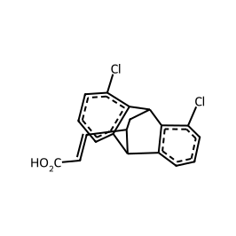 O=C(O)/C=C/C1CC2c3c(Cl)cccc3C1c1cccc(Cl)c12